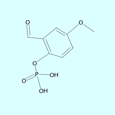 COc1ccc(OP(=O)(O)O)c(C=O)c1